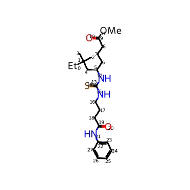 CCC(C)(C)C[C@@H](CCCC(=O)OC)NC(=S)NCCCC(=O)Nc1ccccc1